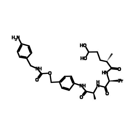 CC(C)[C@H](NC(=O)[C@@H](C)CCC(O)O)C(=O)N[C@@H](C)C(=O)Nc1ccc(COC(=O)NCc2ccc(N)cc2)cc1